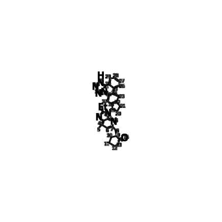 CCc1nc2c(C)cc(C[C@@H]3CCCCC3=O)nc2n1[C@H]1CCc2cc(-c3ccccc3-c3nnn[nH]3)ccc21